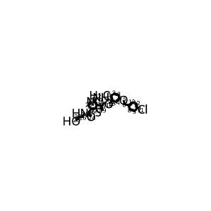 Cc1ccc(OCc2ccc(Cl)cc2)cc1OCc1csc2c(C(=O)NCCO)cnc(N)c12